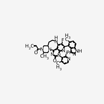 C=CC(=O)N1CC2CCNc3c(F)c(-c4c(C)ccc5[nH]ncc45)nc4c3c(nc(=O)n4-c3c(C)ccnc3C(C)C)N2CC1C